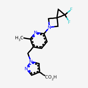 Cc1nc(N2CC3(C2)CC3(F)F)ccc1Cn1cc(C(=O)O)cn1